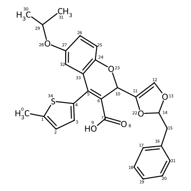 Cc1ccc(C2=C(C(=O)O)C(C3=COC(Cc4ccccc4)O3)Oc3ccc(OC(C)C)cc32)s1